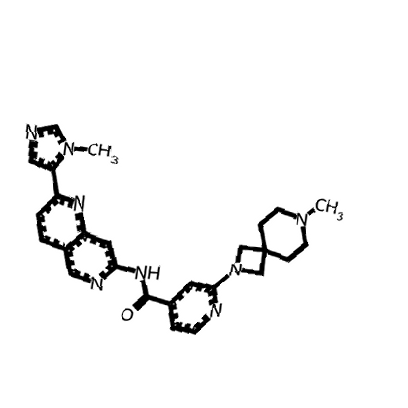 CN1CCC2(CC1)CN(c1cc(C(=O)Nc3cc4nc(-c5cncn5C)ccc4cn3)ccn1)C2